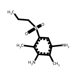 CCCS(=O)(=O)c1cc(N)c(C)c(N)c1C